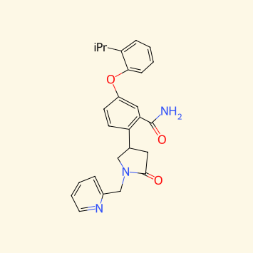 CC(C)c1ccccc1Oc1ccc(C2CC(=O)N(Cc3ccccn3)C2)c(C(N)=O)c1